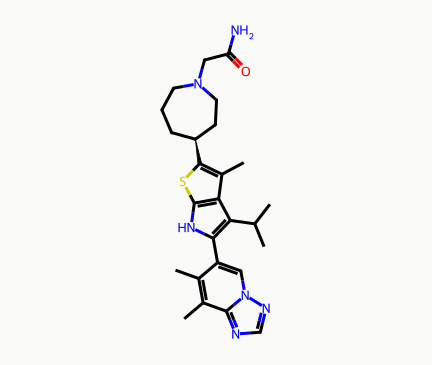 Cc1c(-c2[nH]c3sc([C@H]4CCCN(CC(N)=O)CC4)c(C)c3c2C(C)C)cn2ncnc2c1C